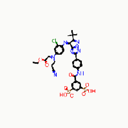 CCOC(=O)CN(CCC#N)c1ccc(/N=C2/C(C(C)(C)C)=Nn3nc(-c4ccc(NC(=O)c5cc(S(=O)(=O)O)cc(S(=O)(=O)O)c5)cc4)nc32)c(Cl)c1